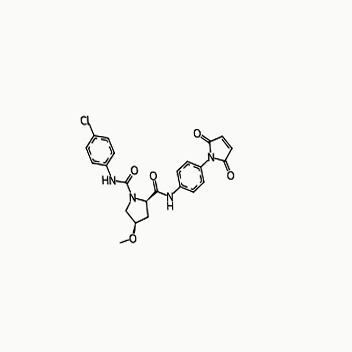 CO[C@@H]1C[C@H](C(=O)Nc2ccc(N3C(=O)C=CC3=O)cc2)N(C(=O)Nc2ccc(Cl)cc2)C1